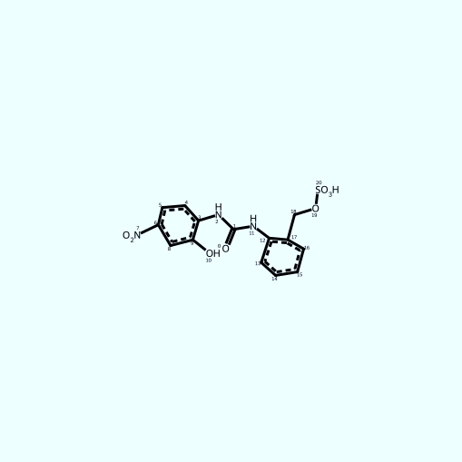 O=C(Nc1ccc([N+](=O)[O-])cc1O)Nc1ccccc1COS(=O)(=O)O